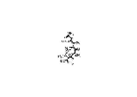 C=C(C)[C@@H](C(=O)N[C@@H](C)C(=O)N(C)[C@@H]([C@@H](C)CC)[C@@H](CC(N)=O)OC)N(C)C